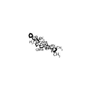 CC[C@H](C)[C@@H]([C@@H](CC(=O)N1CCC[C@H]1[C@H](OC)[C@@H](C)C(=O)N[C@@](C)(Cc1ccccc1)C(=O)O)OC)N(C)C(=O)[C@@H](Nc1nc(C)cc(C)n1)C(C)C